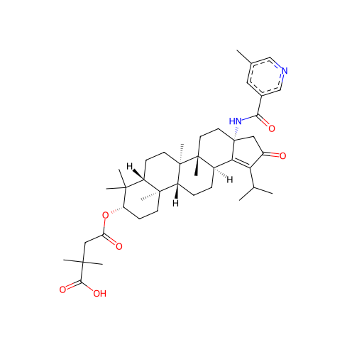 Cc1cncc(C(=O)N[C@@]23CC[C@]4(C)[C@H](CC[C@@H]5[C@@]6(C)CC[C@H](OC(=O)CC(C)(C)C(=O)O)C(C)(C)[C@@H]6CC[C@]54C)C2=C(C(C)C)C(=O)C3)c1